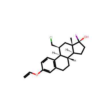 C=COc1ccc2c(c1)CC[C@@H]1[C@@H]2[C@@H](CCl)C[C@@]2(C)[C@H]1CC[C@@]2(O)I